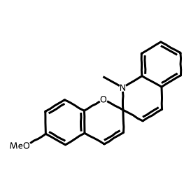 COc1ccc2c(c1)C=CC1(C=Cc3ccccc3N1C)O2